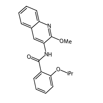 COc1nc2ccccc2cc1NC(=O)c1ccccc1OC(C)C